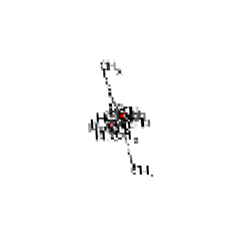 CCCCCCCCCCCCCOC(=O)CC(C(=O)O)C(C(=O)O)C(C(=O)OCCCCCCCCCCCCC)(C1CC(C)(C)NC(C)(C)C1)C1CC(C)(C)NC(C)(C)C1